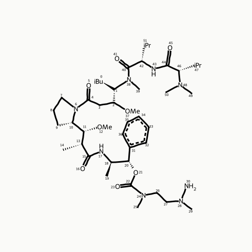 CC[C@H](C)[C@@H](C(CC(=O)N1CCC[C@H]1[C@H](OC)[C@@H](C)C(=O)N[C@H](C)[C@@H](OC(=O)N(C)CCN(C)N)c1ccccc1)OC)N(C)C(=O)[C@@H](NC(=O)[C@H](C(C)C)N(C)C)C(C)C